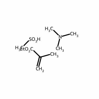 C=C(C)C(=O)OCC.CN(C)C.CS(=O)(=O)O